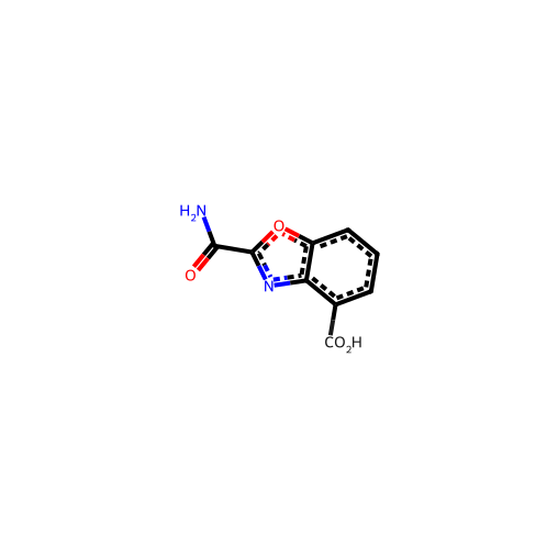 NC(=O)c1nc2c(C(=O)O)cccc2o1